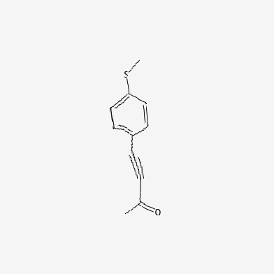 CSc1ccc(C#CC(C)=O)cc1